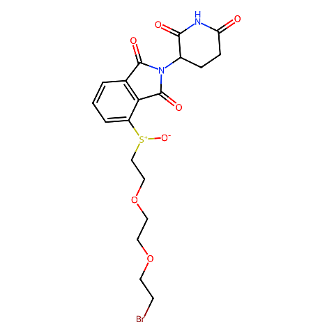 O=C1CCC(N2C(=O)c3cccc([S+]([O-])CCOCCOCCBr)c3C2=O)C(=O)N1